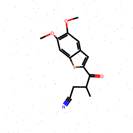 COc1cc2cc(C(=O)C(C)CC#N)sc2cc1OC